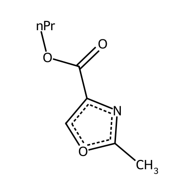 CCCOC(=O)c1coc(C)n1